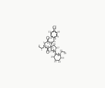 CCN1CC(=O)N(Cc2ccc(Cl)cc2)C2(CCN(C3CCCCN3CC)C2)C1=O